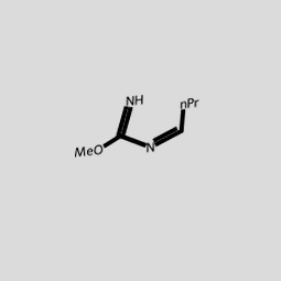 CCC/C=N\C(=N)OC